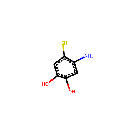 Nc1cc(O)c(O)cc1S